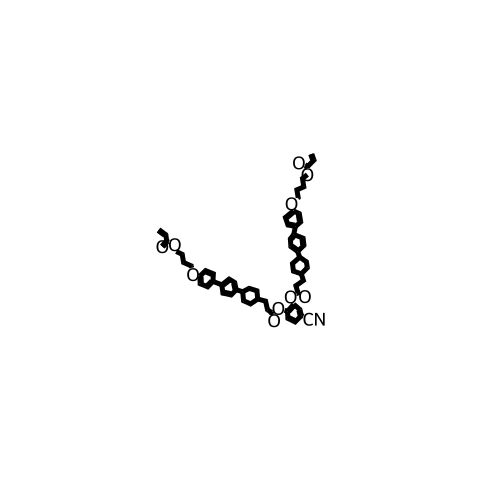 C=CC(=O)OCCCCOc1ccc(-c2ccc(C3CCC(CCC(=O)Oc4ccc(C#N)cc4OC(=O)CCC4CCC(c5ccc(-c6ccc(OCCCCOC(=O)C=C)cc6)cc5)CC4)CC3)cc2)cc1